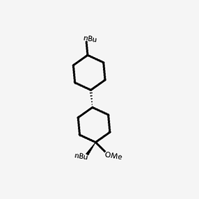 CCCCC1CCC([C@H]2CC[C@@](CCCC)(OC)CC2)CC1